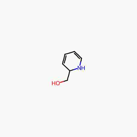 OCC1C=CC=CN1